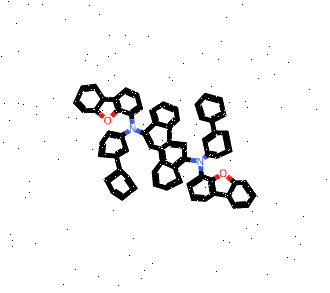 C1=CC2Oc3c(cccc3N(c3cccc(-c4ccccc4)c3)c3cc4c5ccccc5c(N(c5cccc(-c6ccccc6)c5)c5cccc6c5OC5C=CC=CC65)cc4c4ccccc34)C2C=C1